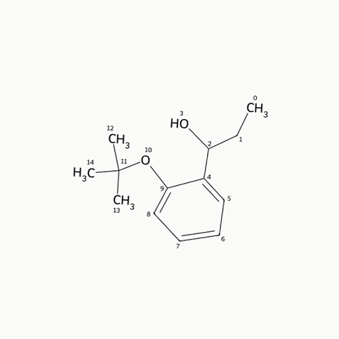 CCC(O)c1ccccc1OC(C)(C)C